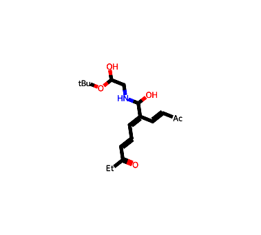 CCC(=O)/C=C/C=C(\C=C\C(C)=O)C(O)NCC(O)OC(C)(C)C